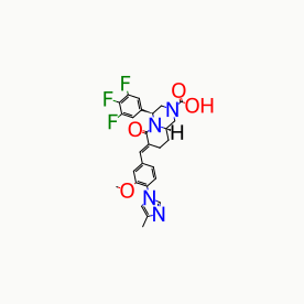 COc1cc(/C=C2\CC[C@H]3CN(C(=O)O)C[C@H](c4cc(F)c(F)c(F)c4)N3C2=O)ccc1-n1cnc(C)c1